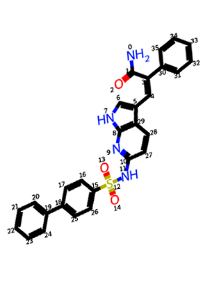 NC(=O)C(=Cc1c[nH]c2nc(NS(=O)(=O)c3ccc(-c4ccccc4)cc3)ccc12)c1ccccc1